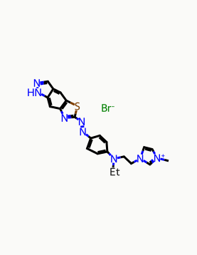 CCN(CCn1cc[n+](C)c1)c1ccc(N=Nc2nc3cc4[nH]ncc4cc3s2)cc1.[Br-]